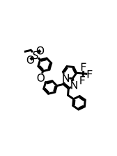 CCS(=O)(=O)c1cccc(Oc2cccc(-c3c(Cc4ccccc4)nc4c(C(F)(F)F)cccn34)c2)c1